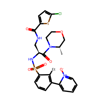 CCc1c(-c2cccc[n+]2[O-])cccc1S(=O)(=O)N[C@@H](CNC(=O)c1ccc(Cl)s1)C(=O)N1CCOC[C@@H]1C